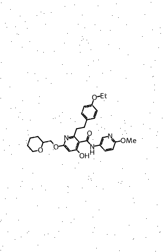 CCOc1ccc(CCc2nc(OCC3CCCCO3)cc(O)c2C(=O)Nc2ccc(OC)nc2)cc1